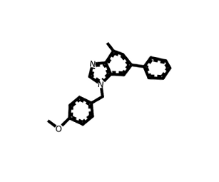 COc1ccc(Cn2cnc3c(C)cc(-c4ccccc4)cc32)cc1